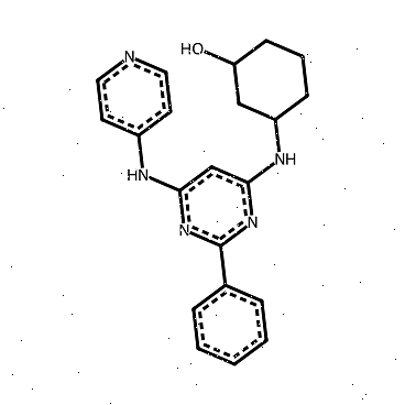 OC1CCCC(Nc2cc(Nc3ccncc3)nc(-c3ccccc3)n2)C1